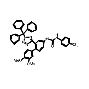 COc1ccc(-c2ccc(NC(=O)Nc3ccc(C(F)(F)F)cc3)cc2-c2nnn(C(c3ccccc3)(c3ccccc3)c3ccccc3)n2)cc1OC